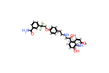 NC(=O)c1cccc(C(F)(F)COc2ccc(CCNCC(O)c3ccc(O)c4[nH]c(=O)ccc34)cc2)c1